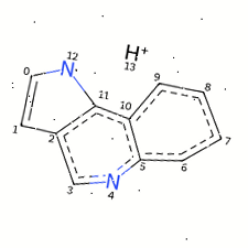 C1=Cc2cnc3ccccc3c2[N]1.[H+]